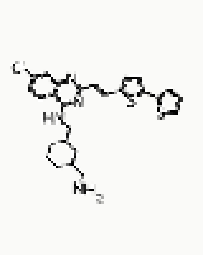 NCC1CCCC(CNc2nc(/C=C/c3ccc(-c4cccs4)s3)nc3cc(Cl)ccc23)C1